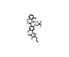 CCCc1nn(-c2cc(OCC(F)(F)F)c(C(=O)Nc3c(F)cccc3F)cc2F)c(=O)n1C